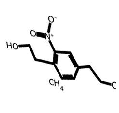 C.O=[N+]([O-])c1cc(CCO)ccc1CCO